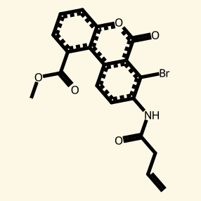 C=CCC(=O)Nc1ccc2c(c1Br)c(=O)oc1cccc(C(=O)OC)c12